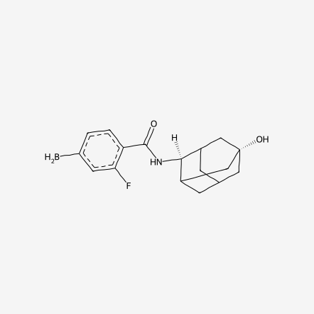 Bc1ccc(C(=O)N[C@H]2C3CC4CC2C[C@](O)(C4)C3)c(F)c1